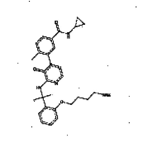 CNCCCCOc1ccccc1C(C)(C)Nc1nccn(-c2cc(C(=O)NC3CC3)ccc2C)c1=O